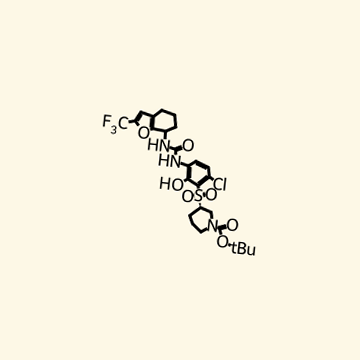 CC(C)(C)OC(=O)N1CCC[C@H](S(=O)(=O)c2c(Cl)ccc(NC(=O)NC3CCCc4cc(C(F)(F)F)oc43)c2O)C1